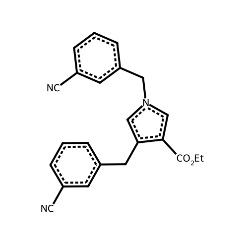 CCOC(=O)c1cn(Cc2cccc(C#N)c2)cc1Cc1cccc(C#N)c1